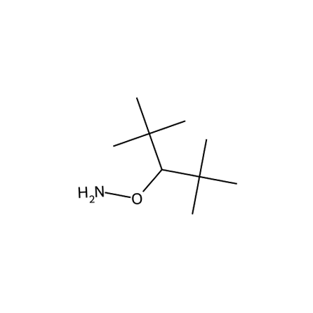 CC(C)(C)C(ON)C(C)(C)C